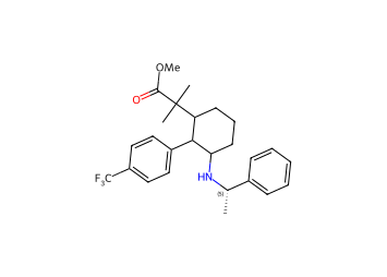 COC(=O)C(C)(C)C1CCCC(N[C@@H](C)c2ccccc2)C1c1ccc(C(F)(F)F)cc1